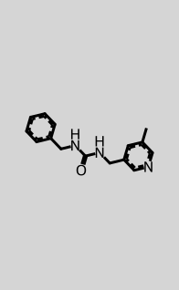 Cc1cncc(CNC(=O)NCc2ccccc2)c1